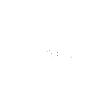 CCCN(C)C(C)(CCC)C(C)(C)NC(=O)c1cc(CC)on1